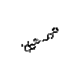 O=C1CCOc2ccc(C(O)CCCCCN3CCN(c4ccccc4)CC3)cc2N1